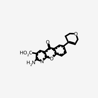 Nc1nc2oc3ccc(C4=CCOCC4)cc3c(=O)c2cc1C(=O)O